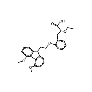 CCOC(Cc1ccccc1OCCC1c2cccc(OC)c2-c2c(OC)cccc21)C(=O)O